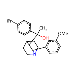 COc1cccc(C2C(C(C)(O)c3ccc(C(C)C)cc3)C3CCN2CC3)c1